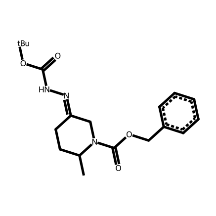 CC1CC/C(=N\NC(=O)OC(C)(C)C)CN1C(=O)OCc1ccccc1